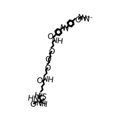 [N-]=[N+]=NOCc1ccc(N=Nc2ccc(C(=O)NCCCOCCOCCOCCCNC(=O)CCCC[C@@H]3SC[C@@H]4NC(=O)N[C@@H]43)cc2)cc1